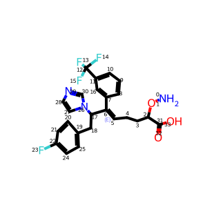 NOC(CC/C=C(\c1cccc(C(F)(F)F)c1)C(Cc1ccc(F)cc1)n1ccnc1)C(=O)O